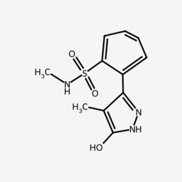 CNS(=O)(=O)c1ccccc1-c1n[nH]c(O)c1C